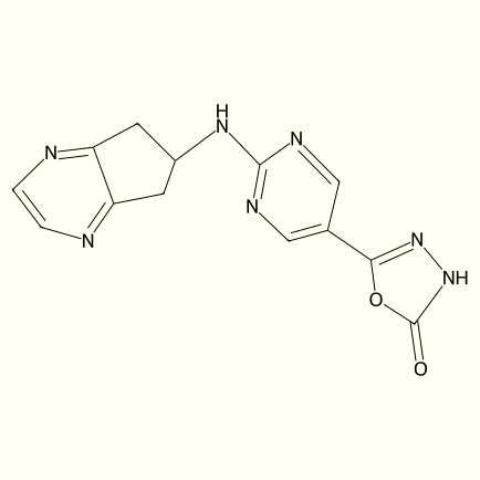 O=c1[nH]nc(-c2cnc(NC3Cc4nccnc4C3)nc2)o1